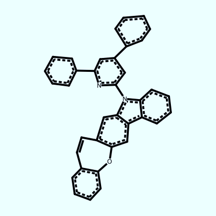 C1=Cc2cc3c(cc2Oc2ccccc21)c1ccccc1n3-c1cc(-c2ccccc2)cc(-c2ccccc2)n1